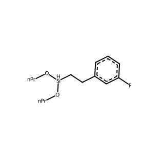 CCCO[SiH](CCc1cccc(F)c1)OCCC